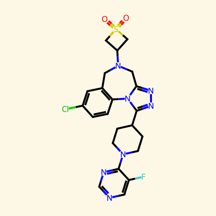 O=S1(=O)CC(N2Cc3cc(Cl)ccc3-n3c(nnc3C3CCN(c4ncncc4F)CC3)C2)C1